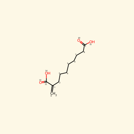 C=C(CCCCCCCC(=O)O)C(=O)O